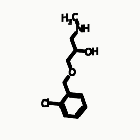 CNCC(O)COCc1ccccc1Cl